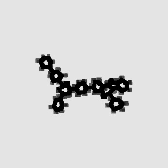 c1ccc(-c2ccc(-c3nc(-c4ccccc4)cc(-c4ccc(-c5ccc6c(c5)nc(-c5ccccc5)c5c7ccccc7oc65)cc4)n3)cc2)cc1